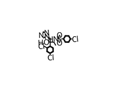 CC(NS(=O)(=O)c1ccc(Cl)cc1)C(O)(Cn1cncn1)c1ccc(Cl)cc1Cl